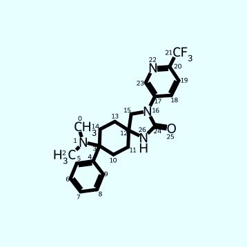 CN(C)C1(c2ccccc2)CCC2(CC1)CN(c1ccc(C(F)(F)F)nc1)C(=O)N2